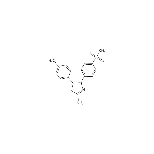 CC1=NN(c2ccc(S(C)(=O)=O)cc2)C(c2ccc(C)cc2)C1